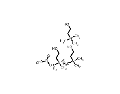 C[N+](C)(C)CCO.C[N+](C)(C)CCO.C[N+](C)(C)CCO.O=[Si]([O-])[O-].[Cl-]